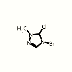 CN1N=CN(Br)C1Cl